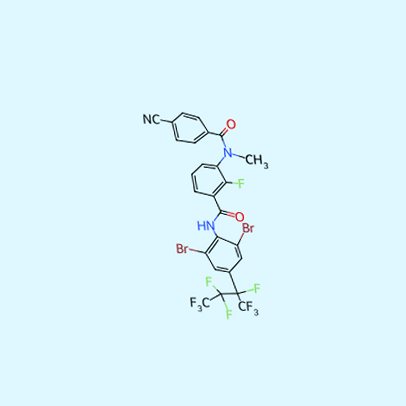 CN(C(=O)c1ccc(C#N)cc1)c1cccc(C(=O)Nc2c(Br)cc(C(F)(C(F)(F)F)C(F)(F)C(F)(F)F)cc2Br)c1F